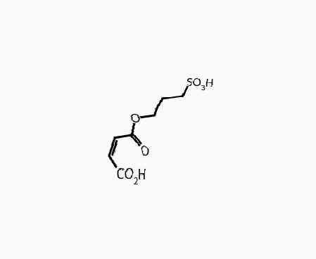 O=C(O)/C=C\C(=O)OCCCS(=O)(=O)O